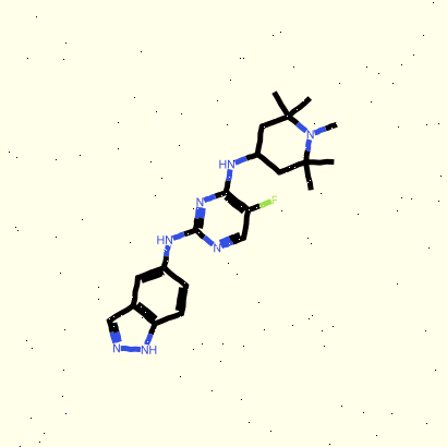 CN1C(C)(C)CC(Nc2nc(Nc3ccc4[nH]ncc4c3)ncc2F)CC1(C)C